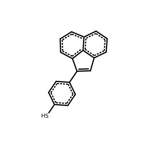 Sc1ccc(C2=Cc3cccc4cccc2c34)cc1